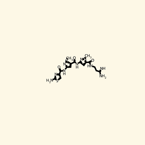 Cn1nc(NC(=O)c2cc(NC(=O)c3csc(N)n3)nn2C)cc1C(=O)NCCC(=N)N